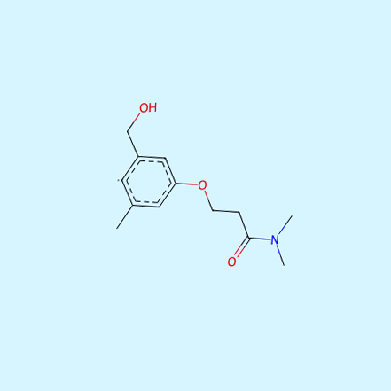 Cc1[c]c(CO)cc(OCCC(=O)N(C)C)c1